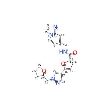 O=C(NCc1ccn2ccnc2c1)c1ccc(-c2cnn(CC3CCCO3)c2)o1